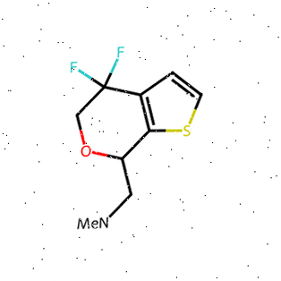 CNCC1OCC(F)(F)c2ccsc21